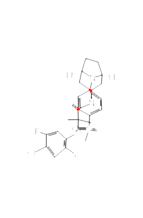 CC(C)(Oc1cc(F)c(Cl)cc1Cl)C(=O)N[C@H]1C[C@H]2CC[C@@H](C1)N2c1ccc(S(C)(=O)=O)cc1